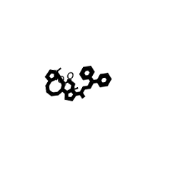 CC(CC=C(c1ccccc1)c1ccccc1)C1CCC2C3CCCCC4CC[C@@]5(C)C4O[C@]35C(=O)C[C@]12C